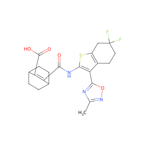 Cc1noc(-c2c(NC(=O)C3=C(C(=O)O)C4CCC3CC4)sc3c2CCC(F)(F)C3)n1